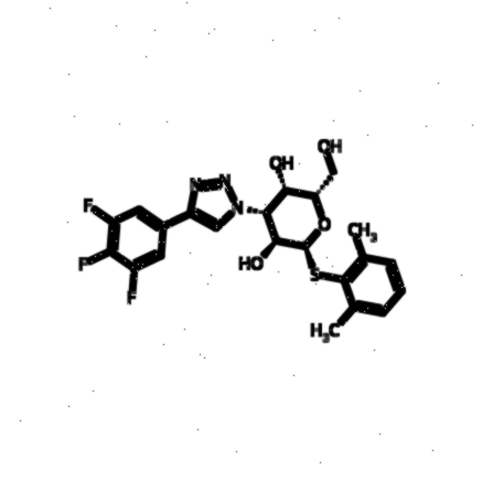 Cc1cccc(C)c1S[C@@H]1O[C@@H](CO)[C@@H](O)[C@@H](n2cc(-c3cc(F)c(F)c(F)c3)nn2)[C@@H]1O